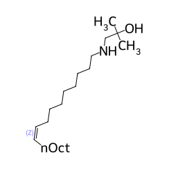 CCCCCCCC/C=C\CCCCCCCCNCC(C)(C)O